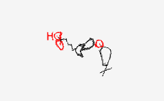 CC(C)(C)C1CCC(Oc2ccc3cc(CCCCC(=O)O)ccc3c2)CC1